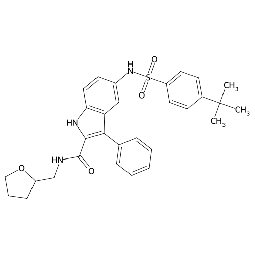 CC(C)(C)c1ccc(S(=O)(=O)Nc2ccc3[nH]c(C(=O)NCC4CCCO4)c(-c4ccccc4)c3c2)cc1